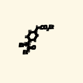 CCOC(=O)CC1CCC(N(CC)C(=O)CC)CC1